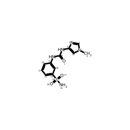 Cn1cnc(NC(=O)Nc2cccc(S(N)(=O)=O)c2)c1